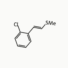 CSC=Cc1ccccc1Cl